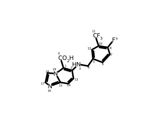 O=C(O)c1c(NCc2ccc(F)c(C(F)(F)F)c2)ccc2nccn12